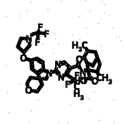 CC1CC2CC(C)C(NC(=O)c3cnc(N4CC5(CCOCC5)c5cc(O[C@@H]6CCN(CC(F)(F)F)C6)ccc54)nc3C(C)(F)F)(C(=O)O)C(C1)C2